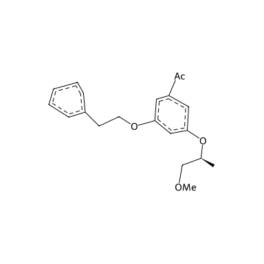 COC[C@H](C)Oc1cc(OCCc2ccccc2)cc(C(C)=O)c1